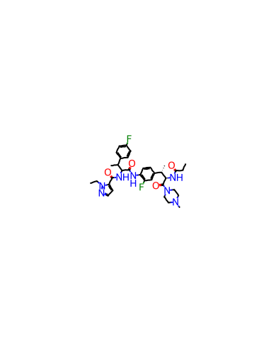 CCC(=O)N[C@@H](C(=O)N1CCN(C)CC1)[C@@H](C)c1ccc(NC(=O)C(NC(=O)c2ccnn2CC)C(C)c2ccc(F)cc2)c(F)c1